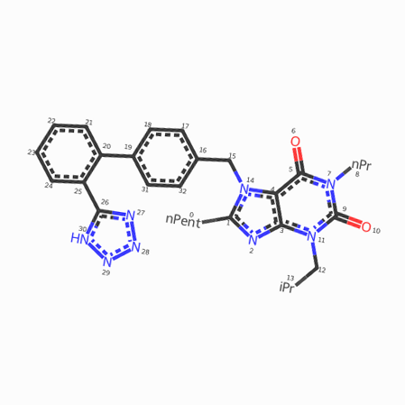 CCCCCc1nc2c(c(=O)n(CCC)c(=O)n2CC(C)C)n1Cc1ccc(-c2ccccc2-c2nnn[nH]2)cc1